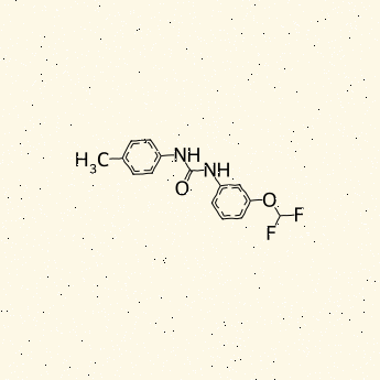 Cc1ccc(NC(=O)Nc2cccc(OC(F)F)c2)cc1